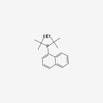 CCC(C)(C)P(c1cccc2ccccc12)C(C)(C)CC